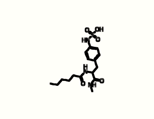 CCCCCC(=O)NC(Cc1ccc(NS(=O)(=O)O)cc1)C(=O)NC